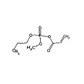 C=CC(=O)OP(=O)(OC)OCCC